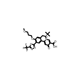 COCCCOc1cc2c(cc1-c1nnc(C(F)(F)F)o1)-c1cc(=O)c(C(=O)O)cn1[C@H](C(C)(C)C)C2